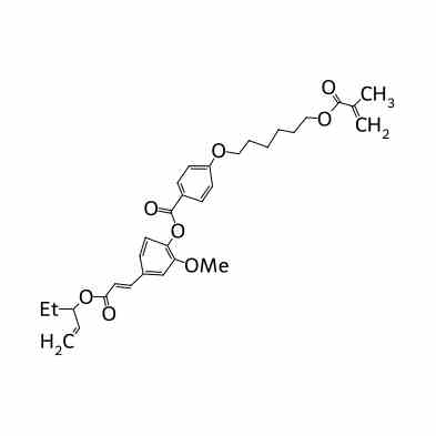 C=CC(CC)OC(=O)/C=C/c1ccc(OC(=O)c2ccc(OCCCCCCOC(=O)C(=C)C)cc2)c(OC)c1